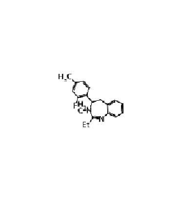 CCC1=Nc2ccccc2CC(c2ccc(C)cc2F)N1C